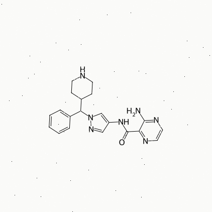 Nc1nccnc1C(=O)Nc1cnn(C(c2ccccc2)C2CCNCC2)c1